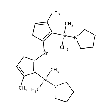 CC1=CC[C]([Zr][C]2=C([Si](C)(C)N3CCCC3)C(C)=CC2)=C1[Si](C)(C)N1CCCC1